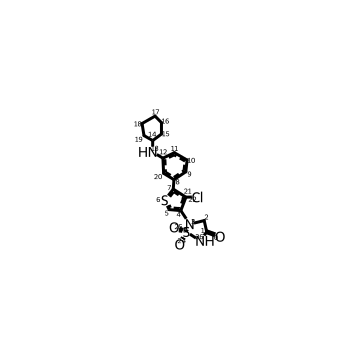 O=C1CN(c2csc(-c3cccc(NC4CCCCC4)c3)c2Cl)S(=O)(=O)N1